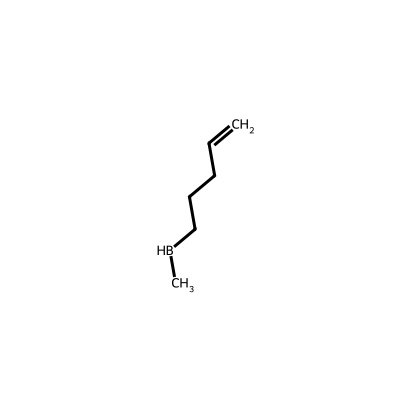 C=CCCCBC